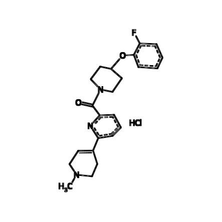 CN1CC=C(c2cccc(C(=O)N3CCC(Oc4ccccc4F)CC3)n2)CC1.Cl